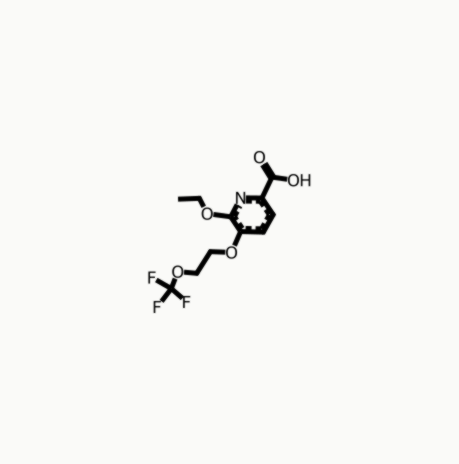 CCOc1nc(C(=O)O)ccc1OCCOC(F)(F)F